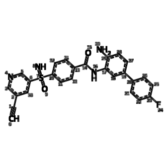 C#Cc1cncc(S(=N)(=O)c2ccc(C(=O)Nc3cc(-c4ccc(F)cc4)ccc3N)cc2)c1